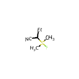 CCC(C#N)S(C)(C)F